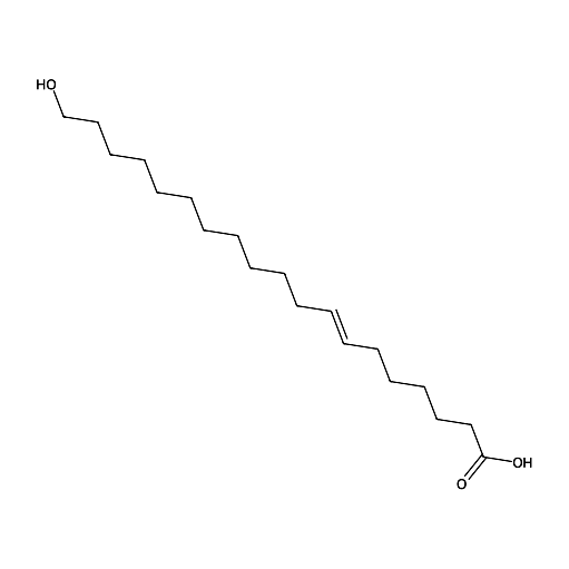 O=C(O)CCCCC/C=C/CCCCCCCCCCCO